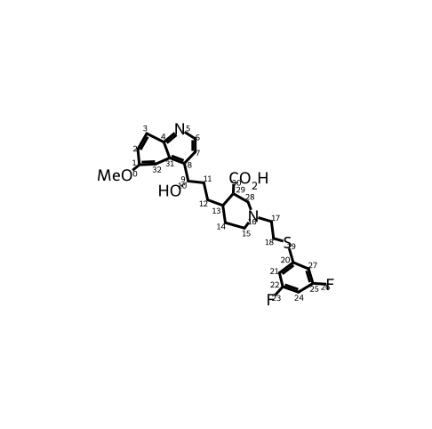 COc1ccc2nccc([C@@H](O)CCC3CCN(CCSc4cc(F)cc(F)c4)CC3C(=O)O)c2c1